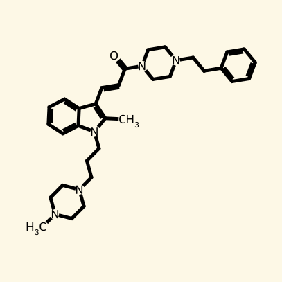 Cc1c(C=CC(=O)N2CCN(CCc3ccccc3)CC2)c2ccccc2n1CCCN1CCN(C)CC1